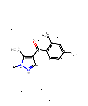 COc1cc(C(F)(F)F)ccc1C(=O)c1cnn(C)c1C(=O)O